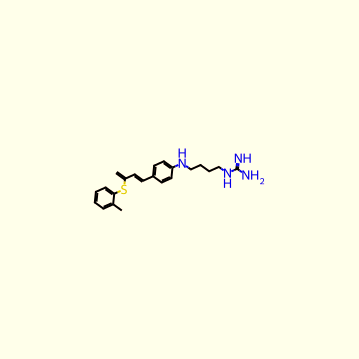 C=C(C=Cc1ccc(NCCCCNC(=N)N)cc1)Sc1ccccc1C